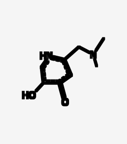 CN(C)Cc1cc(=O)c(O)c[nH]1